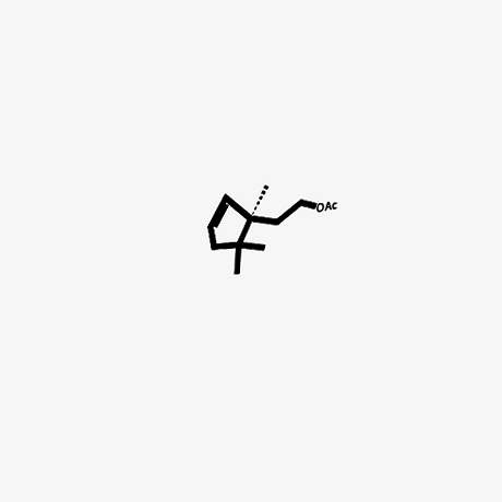 CC(=O)OCC[C@]1(C)C=CCC1(C)C